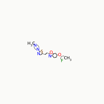 CCC(CF)Oc1ccc2nc(/C=C/c3cnc(N4CCN(C)CC4)s3)oc2c1